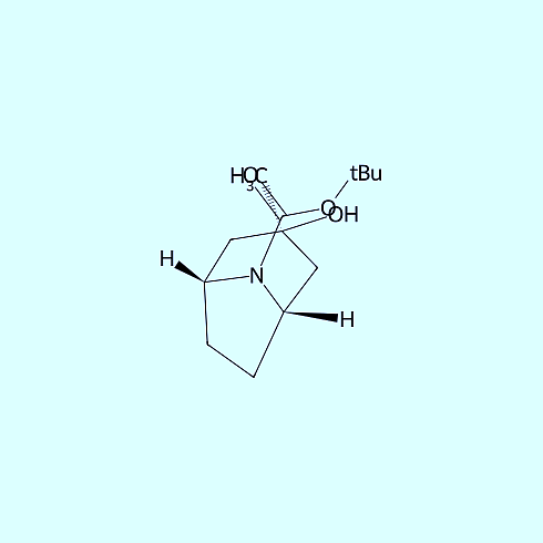 CC(C)(C)OC(=O)N1[C@@H]2CC[C@H]1C[C@](C)(O)C2